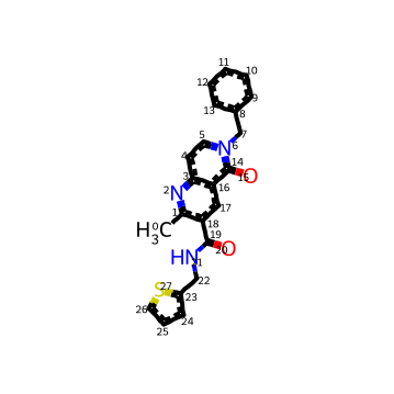 Cc1nc2ccn(Cc3ccccc3)c(=O)c2cc1C(=O)NCc1cccs1